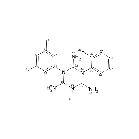 Cc1cc(C)cc(N2C(N)N(C)C(N)N(c3ccccc3F)C2N)c1